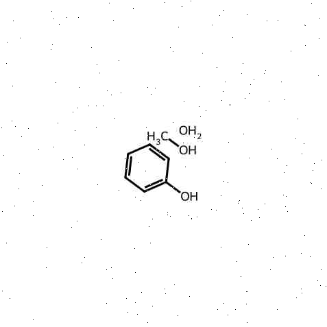 CO.O.Oc1ccccc1